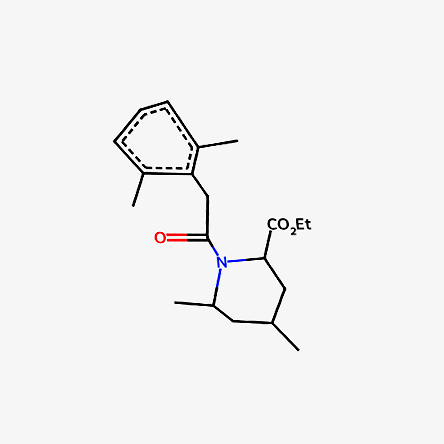 CCOC(=O)C1CC(C)CC(C)N1C(=O)Cc1c(C)cccc1C